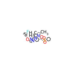 C[C@@H]1CN(c2nc(-n3ccc(OCC[Si]4(CF)CC4)n3)ccc2C(=O)CS(=O)(=O)c2ccccc2)C(C)(C)C1